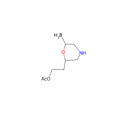 BC1CNCC(CCOC(C)=O)O1